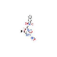 CC(C)C[C@H](N[C@H](CCN1C(=O)c2cc3ccccc3cc2C1=O)C(=O)OC(C)(C)C)C(=O)NCCN1CCOCC1